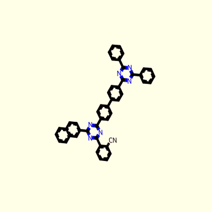 N#Cc1ccccc1-c1nc(-c2ccc(-c3ccc(-c4nc(-c5ccccc5)nc(-c5ccccc5)n4)cc3)cc2)nc(-c2ccc3ccccc3c2)n1